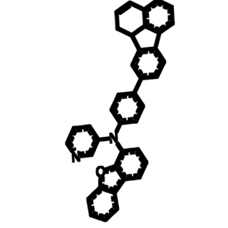 C1=Cc2cccc3c2C(C1)c1cc(-c2ccc(N(c4cccnc4)c4cccc5c4oc4ccccc45)cc2)ccc1-3